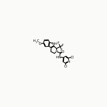 COc1ccc2[nH]c3c(c2c1)CCN(C(=O)Nc1cc(Cl)nc(Cl)c1)C3C(F)(F)F